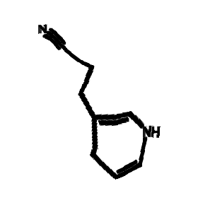 N#CCCC1=CNC=CC1